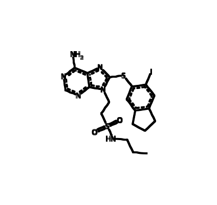 CCCNS(=O)(=O)CCn1c(Sc2cc3c(cc2I)CCC3)nc2c(N)ncnc21